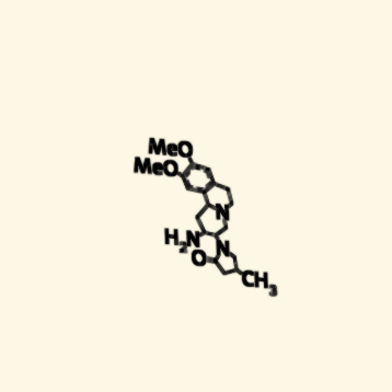 COc1cc2c(cc1OC)C1CC(N)C(N3CC(C)CC3=O)CN1CC2